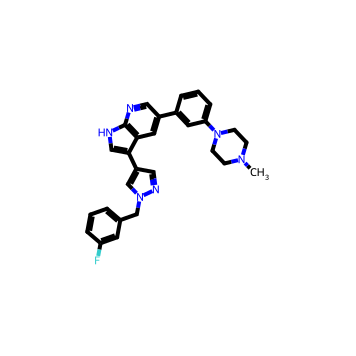 CN1CCN(c2cccc(-c3cnc4[nH]cc(-c5cnn(Cc6cccc(F)c6)c5)c4c3)c2)CC1